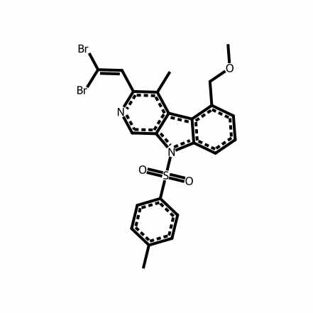 COCc1cccc2c1c1c(C)c(C=C(Br)Br)ncc1n2S(=O)(=O)c1ccc(C)cc1